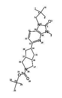 Cn1c(=O)n(CC(C)(C)C)c2ccc(C3CC4CN(C(=O)OC(C)(C)C)CC4C3)nc21